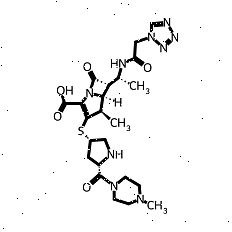 C[C@@H](NC(=O)Cn1cnnn1)[C@H]1C(=O)N2C(C(=O)O)=C(S[C@@H]3CN[C@H](C(=O)N4CCN(C)CC4)C3)[C@H](C)[C@H]12